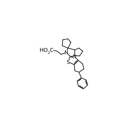 O=C(O)CCN(c1nc2c(s1)CC(c1ccccc1)CC2)C1(C2CCCC2)CCCC1